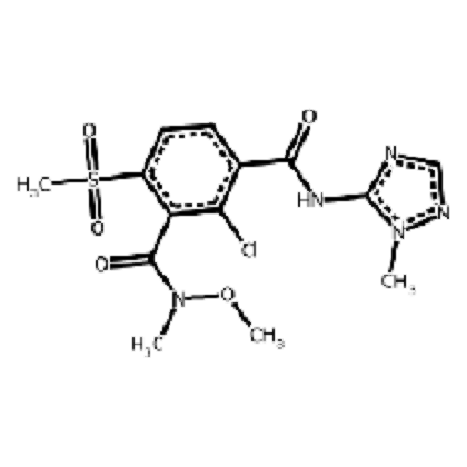 CON(C)C(=O)c1c(S(C)(=O)=O)ccc(C(=O)Nc2ncnn2C)c1Cl